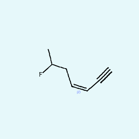 C#C/C=C\CC(C)F